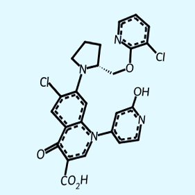 O=C(O)c1cn(-c2ccnc(O)c2)c2cc(N3CCC[C@@H]3COc3ncccc3Cl)c(Cl)cc2c1=O